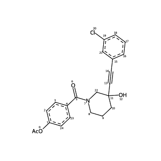 CC(=O)Oc1ccc(C(=O)N2CCCC(O)(C#Cc3cccc(Cl)c3)C2)cc1